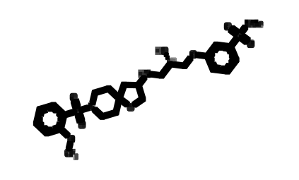 CNS(=O)(=O)c1cccc(OC[C@@H](O)CNC2COC3(CCN(S(=O)(=O)c4ccccc4OC(F)(F)F)CC3)C2)c1